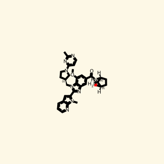 COc1cc(C(=O)N2C[C@H]3CC[C@@H]2[C@@H]3N)cc2nc(-c3cc4cccnc4n3C)n(C[C@H]3CCN(c4ccnc(C)n4)C3)c12